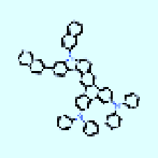 c1ccc(N(c2ccccc2)c2ccc3c(c2)c2cc(N(c4ccccc4)c4ccccc4)ccc2c2cc4c(ccc5c4c4ccc(-c6ccc7ccccc7c6)cc4n5-c4ccc5ccccc5c4)cc32)cc1